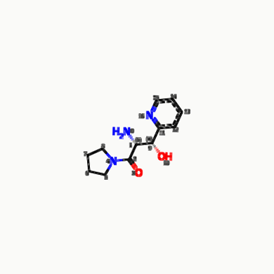 N[C@@H](C(=O)N1CCCC1)[C@@H](O)c1ccccn1